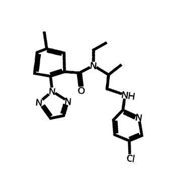 CCN(C(=O)c1cc(C)ccc1-n1nccn1)C(C)CNc1ccc(Cl)cn1